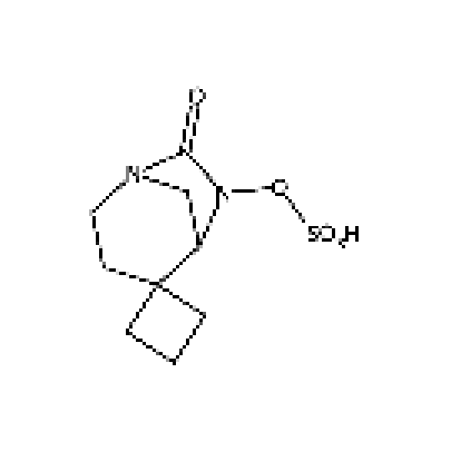 O=C1N2CCC3(CCC3)C(C2)N1OS(=O)(=O)O